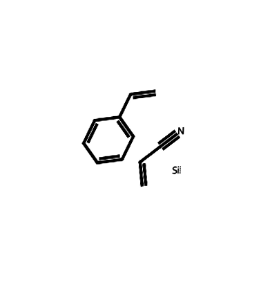 C=CC#N.C=Cc1ccccc1.[Si]